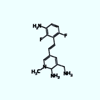 CN1C=C(C=Cc2c(F)ccc(N)c2F)C=C(CN)C1N